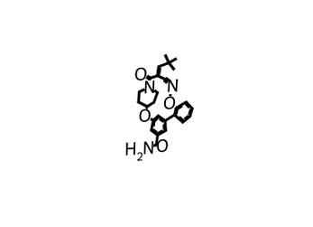 COc1ccccc1-c1cc(OC2CCN(C(=O)/C(C#N)=C/C(C)(C)C)CC2)cc(C(N)=O)c1